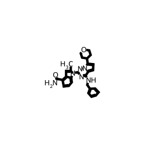 Cc1cc2c(C(N)=O)cccc2n1-c1nc(NCc2ccccc2)c2ccc(C3CCOCC3)n2n1